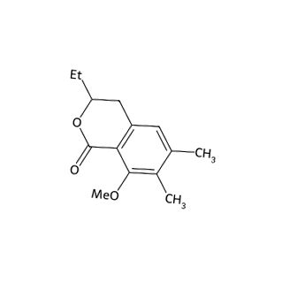 CCC1Cc2cc(C)c(C)c(OC)c2C(=O)O1